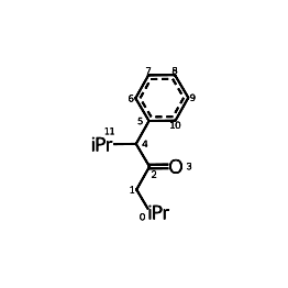 CC(C)CC(=O)C(c1ccccc1)C(C)C